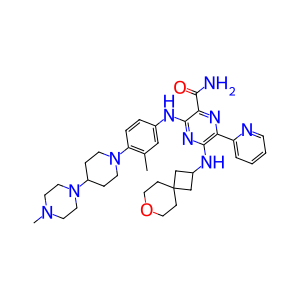 Cc1cc(Nc2nc(NC3CC4(CCOCC4)C3)c(-c3ccccn3)nc2C(N)=O)ccc1N1CCC(N2CCN(C)CC2)CC1